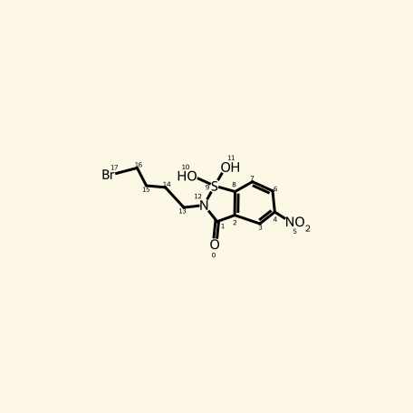 O=C1c2cc([N+](=O)[O-])ccc2S(O)(O)N1CCCCBr